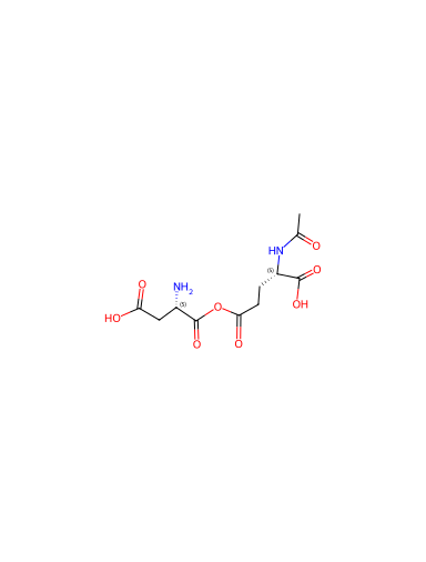 CC(=O)N[C@@H](CCC(=O)OC(=O)[C@@H](N)CC(=O)O)C(=O)O